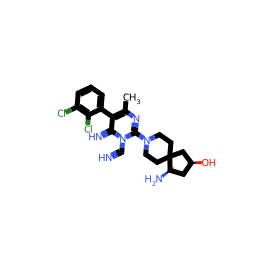 Cc1nc(N2CCC3(CC2)C[C@@H](O)C[C@H]3N)n(C=N)c(=N)c1-c1cccc(Cl)c1Cl